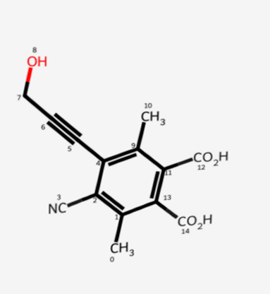 Cc1c(C#N)c(C#CCO)c(C)c(C(=O)O)c1C(=O)O